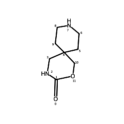 O=C1NCC2(CCNCC2)CO1